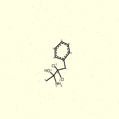 CC(N)(O)C(Cl)(Cl)Cc1ccccc1